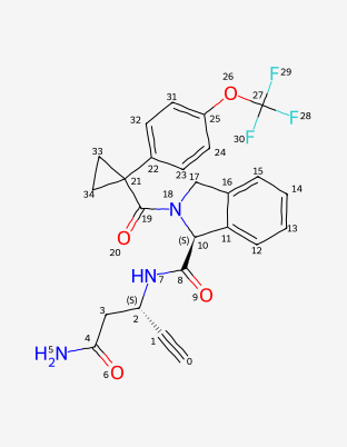 C#C[C@H](CC(N)=O)NC(=O)[C@@H]1c2ccccc2CN1C(=O)C1(c2ccc(OC(F)(F)F)cc2)CC1